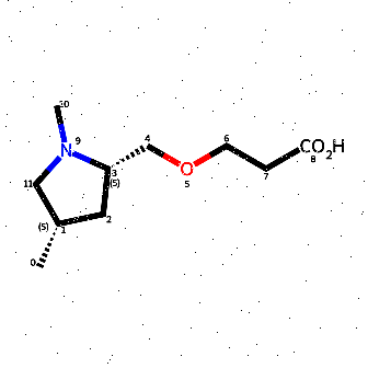 C[C@H]1C[C@@H](COCCC(=O)O)N(C)C1